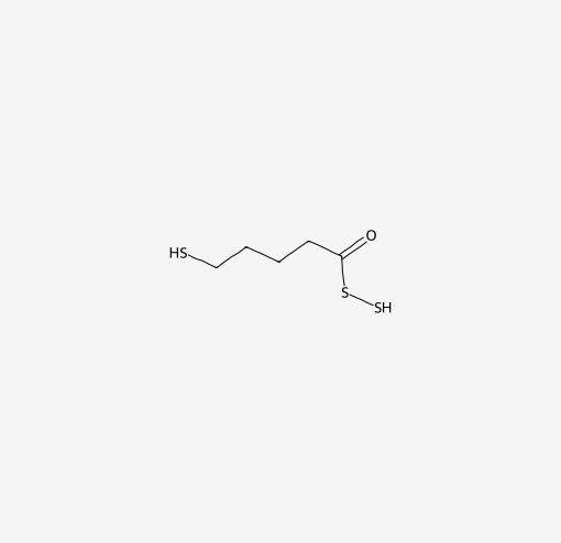 O=C(CCCCS)SS